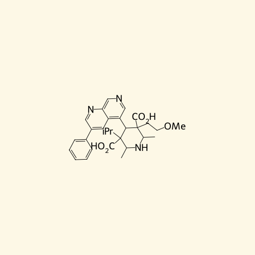 COCCC1(C(=O)O)C(C)NC(C)C(C(=O)O)(C(C)C)C1c1cncc2ncc(-c3ccccc3)cc12